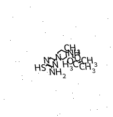 CC1(NC(=O)OC(C)(C)C)CCN(c2cnc(S)c(N)n2)CC1